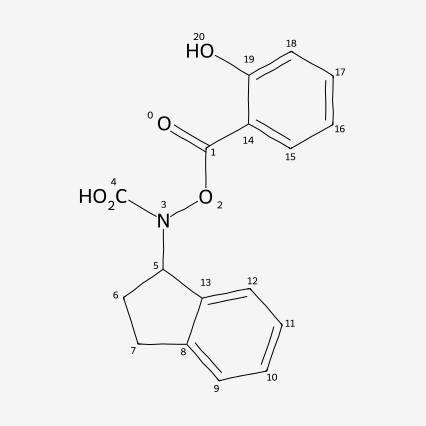 O=C(ON(C(=O)O)C1CCc2ccccc21)c1ccccc1O